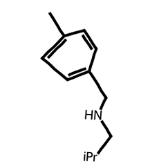 Cc1ccc(CNCC(C)C)cc1